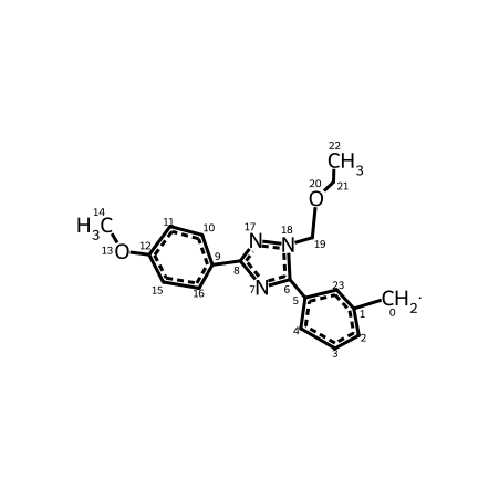 [CH2]c1cccc(-c2nc(-c3ccc(OC)cc3)nn2COCC)c1